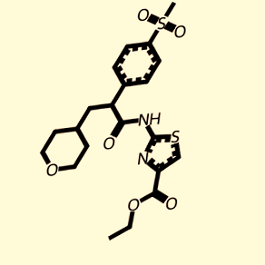 CCOC(=O)c1csc(NC(=O)C(CC2CCOCC2)c2ccc(S(C)(=O)=O)cc2)n1